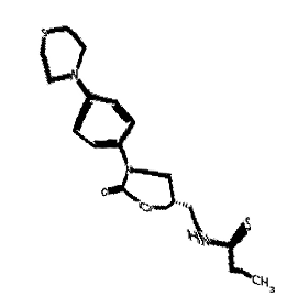 CCC(=S)NC[C@H]1CN(c2ccc(N3CCSCC3)cc2)C(=O)O1